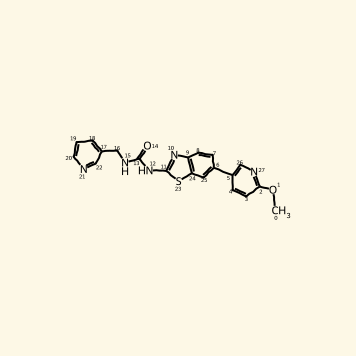 COc1ccc(-c2ccc3nc(NC(=O)NCc4cccnc4)sc3c2)cn1